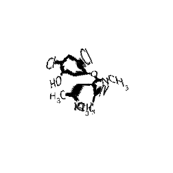 CC(C)=Cc1c(C)nn(C)c1Oc1cc(O)c(Cl)cc1Cl